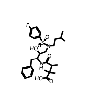 CC(C)CCN(CC(O)[C@H](Cc1ccccc1)NC(=O)C(C)C(C)(C)C(=O)O)S(=O)(=O)c1ccc(F)cc1